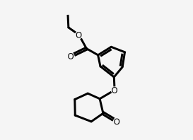 CCOC(=O)c1cccc(OC2CCCCC2=O)c1